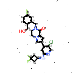 O=C1c2cc(-c3cc(NC4CC(F)(F)C4)ncc3Cl)cn2CCN1Cc1cc(F)ccc1CO